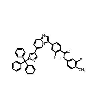 Cc1ccc(NC(=O)c2ccc(-c3cnc4ccc(-c5cnn(C(c6ccccc6)(c6ccccc6)c6ccccc6)c5)cn34)cc2F)cc1F